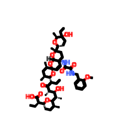 CCC(C(=O)[C@@H](C)[C@@H](O)[C@H](C)[C@@H]1O[C@@H]([C@@H](CC)C(=O)O)CC[C@@H]1C)[C@H]1O[C@]2(C=C[C@]3(NC(=O)C(=O)NCc4ccccc4OC)CC[C@@](C)([C@H]4CC[C@](O)(CC)[C@H](C)O4)O[C@H]3O2)[C@H](C)C[C@@H]1C